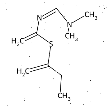 C=C(CC)SC(=C)/N=C\N(C)C